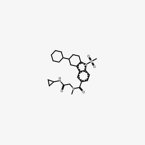 CN(CC(=O)NC1CC1)C(=O)c1ccc2c(c1)c1c(n2S(C)(=O)=O)CCC(C2CCCCC2)C1